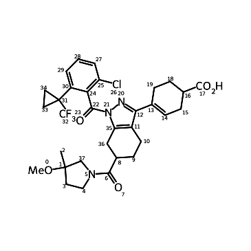 COC1(C)CCN(C(=O)C2CCc3c(C4=CCC(C(=O)O)CC4)nn(C(=O)c4c(Cl)cccc4C4(C(F)(F)F)CC4)c3C2)C1